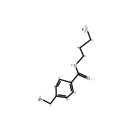 CC(C)Cc1ccc(C(=O)OCCCC(F)(F)F)cc1